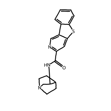 O=C(NC1CN2CCC1CC2)c1cc2sc3ccccc3c2cn1